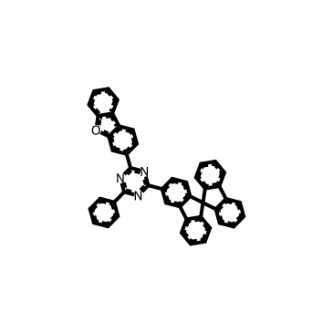 c1ccc(-c2nc(-c3ccc4c(c3)-c3ccccc3C43c4ccccc4-c4ccccc43)nc(-c3ccc4c(c3)oc3ccccc34)n2)cc1